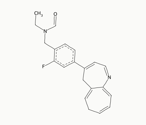 CCN(C=O)Cc1ccc(C2=CC=NC3=CC=CCC=C3C2)cc1F